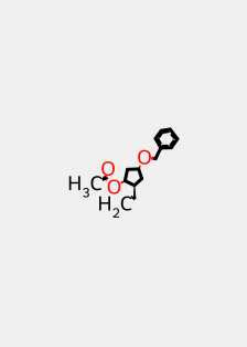 C=C[C@@H]1C[C@@H](OCc2ccccc2)C[C@@H]1OC(C)=O